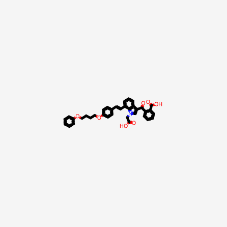 O=C(O)Cn1cc(C(=O)c2ccccc2C(=O)O)c2cccc(C=Cc3ccc(OCCCCOc4ccccc4)cc3)c21